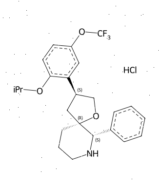 CC(C)Oc1ccc(OC(F)(F)F)cc1[C@H]1CO[C@]2(CCCN[C@H]2c2ccccc2)C1.Cl